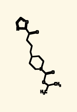 CC(C)OC(=O)N1CCC(CCCC(=O)c2ncco2)CC1